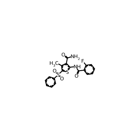 Cc1c(S(=O)(=O)c2ccccc2)sc(NC(=O)c2ccccc2F)c1C(N)=O